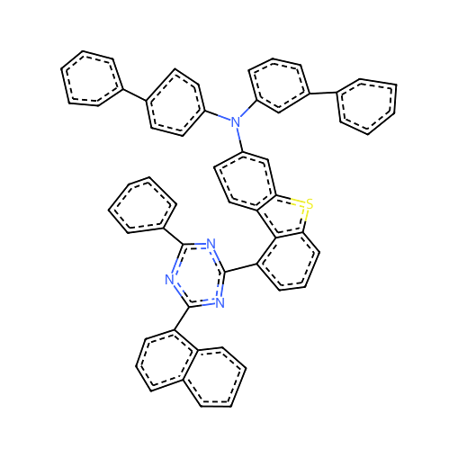 c1ccc(-c2ccc(N(c3cccc(-c4ccccc4)c3)c3ccc4c(c3)sc3cccc(-c5nc(-c6ccccc6)nc(-c6cccc7ccccc67)n5)c34)cc2)cc1